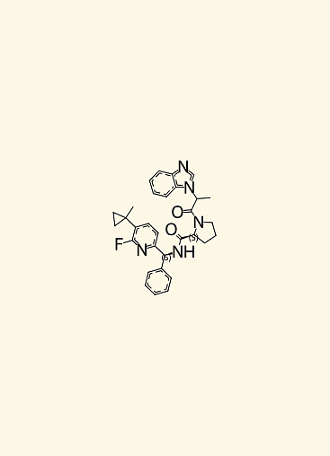 CC(C(=O)N1CCC[C@H]1C(=O)N[C@@H](c1ccccc1)c1ccc(C2(C)CC2)c(F)n1)n1cnc2ccccc21